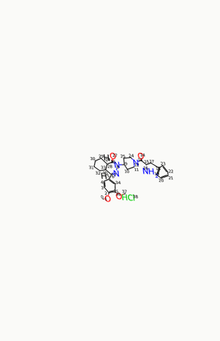 COc1ccc(C2=NN(C3CCN(C(=O)[C@@H](N)Cc4ccccc4)CC3)C(=O)[C@@H]3CCCC[C@H]23)cc1OC.Cl